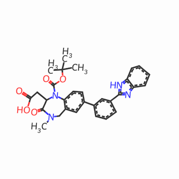 CN1Cc2cc(-c3cccc(-c4nc5ccccc5[nH]4)c3)ccc2N(C(=O)OC(C)(C)C)C(CC(=O)O)C1=O